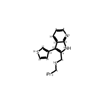 CC(C)CSCc1[nH]c2ncccc2c1-c1ccsc1